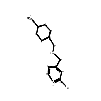 CC(C)(C)C1CCC(COCc2ccnc(F)c2)CC1